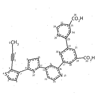 CC#Cc1sccc1-c1ccc(-c2ccnc(-c3cc(C(=O)O)cc(-c4cc(C(=O)O)ccn4)n3)c2)s1